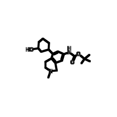 CN1CCc2c(cc(NC(=O)OC(C)(C)C)cc2C2CCCC(O)C2)C1